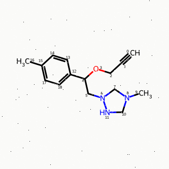 C#CCOC(CN1CN(C)CN1)c1ccc(C)cc1